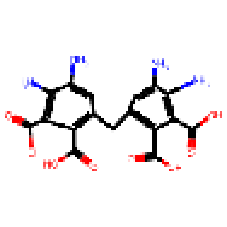 Nc1cc(Cc2cc(N)c(N)c(C(=O)O)c2C(=O)O)c(C(=O)O)c(C(=O)O)c1N